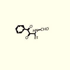 CCC(NC=O)C(=O)C(=O)c1ccccc1